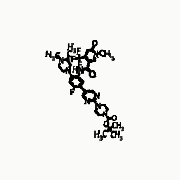 C[C@H]1CN(c2cc(F)c(-c3cnc(N4CCN(C(=O)OC(C)(C)C)CC4)nc3)cc2NC(=O)c2cn(C)c(=O)cc2C(F)(F)F)CCN1C